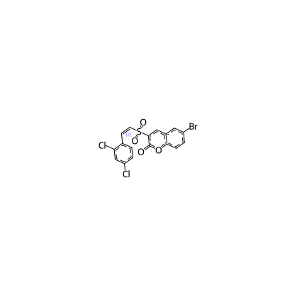 O=c1oc2ccc(Br)cc2cc1S(=O)(=O)/C=C\c1ccc(Cl)cc1Cl